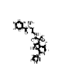 CCCN(CCNC(=O)C1(c2c[nH]c3c(-n4ccnn4)ncc(F)c23)CO1)C(=O)c1ccccc1